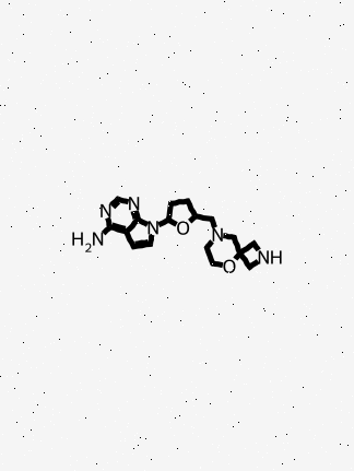 Nc1ncnc2c1ccn2C1CCC(CN2CCOC3(CNC3)C2)O1